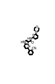 N#Cc1ccccc1C1=NN2C(C(=O)Nc3cccc(N4CCOCC4)n3)=CNC2C=C1